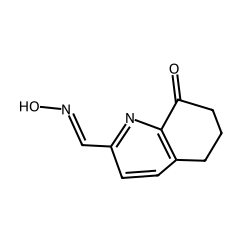 O=C1CCCc2ccc(C=NO)nc21